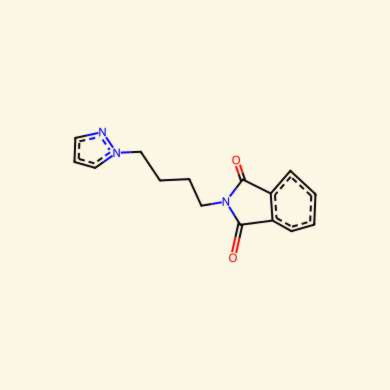 O=C1c2ccccc2C(=O)N1CCCCn1cccn1